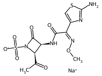 CON=C(C(=O)N[C@@H]1C(=O)N(S(=O)(=O)[O-])[C@@H]1C(C)=O)c1csc(N)n1.[Na+]